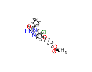 CC(=O)OCCCCCOc1ccc2c(c1Cl)CN1C(=N2)NC(=O)C1c1ccccc1